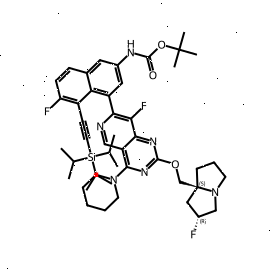 CC(C)[Si](C#Cc1c(F)ccc2cc(NC(=O)OC(C)(C)C)cc(-c3ncc4c(N5CCCCC5)nc(OC[C@@]56CCCN5C[C@H](F)C6)nc4c3F)c12)(C(C)C)C(C)C